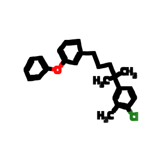 Cc1cc(C(C)(C)CCCc2cccc(Oc3ccccc3)c2)ccc1Cl